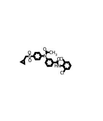 CC(=O)N(c1ccc(S(=O)(=O)CC2CC2)cc1)c1cccc(C(=O)Nc2c(Cl)cccc2Cl)c1